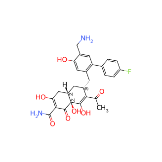 CC(=O)C1=C(O)[C@]2(O)C(=O)C(C(N)=O)=C(O)C[C@@H]2C[C@@H]1Cc1cc(O)c(CN)cc1-c1ccc(F)cc1